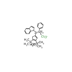 C/[C](c1ccccc1)=[Zr+2](\[C]1=CC([Si](C)(C)C)=C([Si](C)(C)C)C1)[CH]1C=Cc2ccccc21.[Cl-].[Cl-]